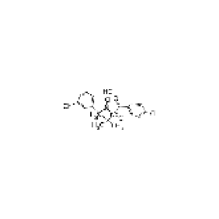 CC(C)(C)[N+](Cl)(C(=O)c1ccc(Cl)cc1)N(Cl)C(=O)c1cccc(Cl)c1.Cl